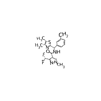 Cc1cccc(C(NC(=O)c2cn(C)nc2C(F)F)c2nc(C)c(C)s2)c1